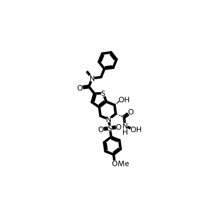 COc1ccc(S(=O)(=O)N2Cc3cc(C(=O)N(C)Cc4ccccc4)sc3[C@H](O)[C@@H]2C(=O)NO)cc1